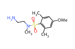 COc1cc(C)c(S(=O)(=O)N(C)CCN)c(C)c1